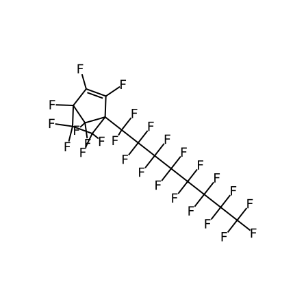 FC1=C(F)C2(C(F)(F)C(F)(F)C(F)(F)C(F)(F)C(F)(F)C(F)(F)C(F)(F)C(F)(F)F)C(F)(F)C(F)(F)C1(F)C2(F)F